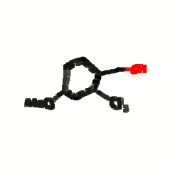 COc1ccc(CO)c(C(F)(F)F)c1